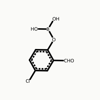 O=Cc1cc(Cl)ccc1OB(O)O